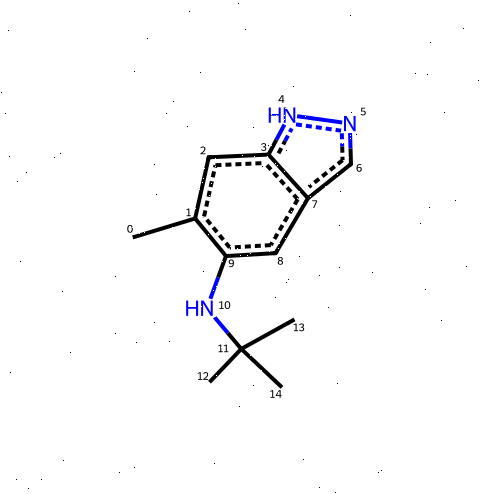 Cc1cc2[nH]ncc2cc1NC(C)(C)C